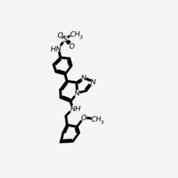 COc1ccccc1CNc1ccc(-c2ccc(NS(C)(=O)=O)cc2)c2nncn12